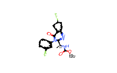 C[C@H](NC(=O)OC(C)(C)C)c1nc2ccc(F)cc2c(=O)n1-c1cccc(F)c1